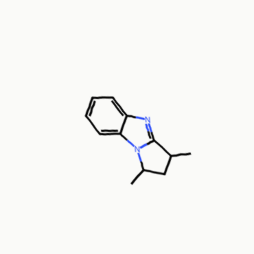 CC1CC(C)n2c1nc1ccccc12